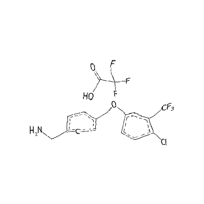 NCc1ccc(Oc2ccc(Cl)c(C(F)(F)F)c2)cc1.O=C(O)C(F)(F)F